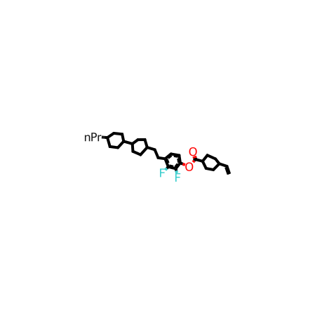 C=CC1CCC(C(=O)Oc2ccc(CCC3CCC(C4CCC(CCC)CC4)CC3)c(F)c2F)CC1